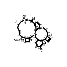 CO[C@H]1/C=C/C[C@H](C)C/[SH](=O)=N\C(=O)c2ccc3c(c2)N(Cc2ccc(Cl)cc2[C@H]2C#C[C@H]2CCO3)C[C@@H]2CC[C@H]21